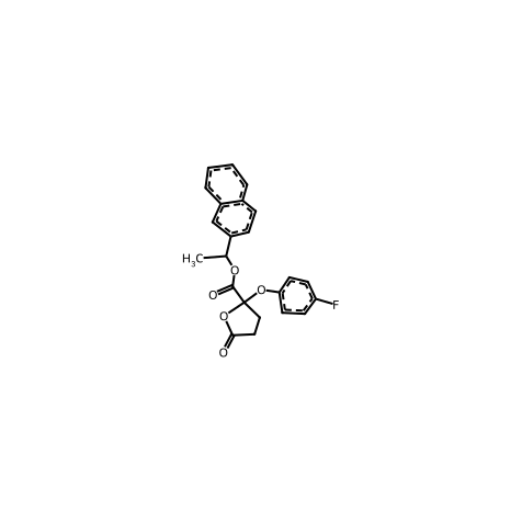 CC(OC(=O)C1(Oc2ccc(F)cc2)CCC(=O)O1)c1ccc2ccccc2c1